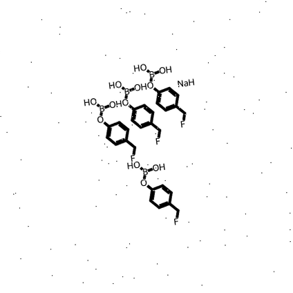 OB(O)Oc1ccc(CF)cc1.OB(O)Oc1ccc(CF)cc1.OB(O)Oc1ccc(CF)cc1.OB(O)Oc1ccc(CF)cc1.[NaH]